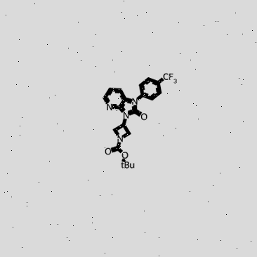 CC(C)(C)OC(=O)N1CC(n2c(=O)n(-c3ccc(C(F)(F)F)cc3)c3cccnc32)C1